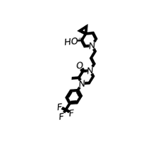 CC1C(=O)N(CCCN2CCC3(CC3)[C@H](O)C2)CCN1c1ccc(C(F)(F)F)cc1